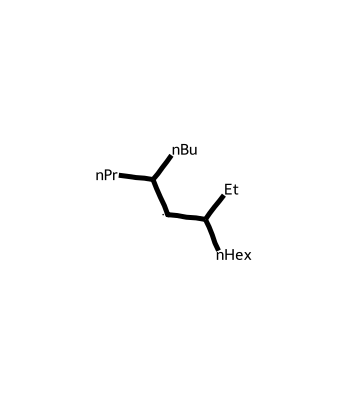 CCCCCCC([CH]C(CCC)CCCC)CC